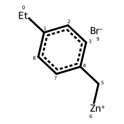 CCc1ccc([CH2][Zn+])cc1.[Br-]